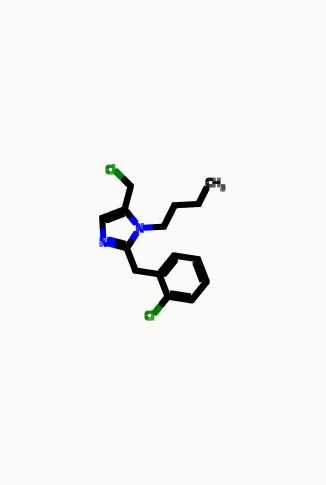 CCCCn1c(CCl)cnc1Cc1ccccc1Cl